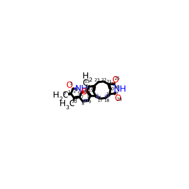 C=C1C(=O)NC(=O)C(/C=C\c2cc(=C)c3c/c2=C\C=C2/C=C(CC3)C(=O)NC2=O)=C1C